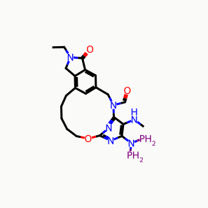 CCN1Cc2c3cc(cc2C1=O)CN(C=O)c1nc(nc(N(P)P)c1NC)OCCCCC3